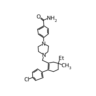 CCC1(C)CCC(c2ccc(Cl)cc2)=C(CN2CCN(c3ccc(C(N)=O)cc3)CC2)C1